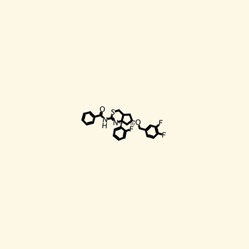 O=C(NC1=N[C@@]2(c3ccccc3F)C[C@@H](OCc3ccc(F)c(F)c3)CC2CS1)c1ccccc1